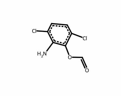 Nc1c(Cl)ccc(Cl)c1OC=O